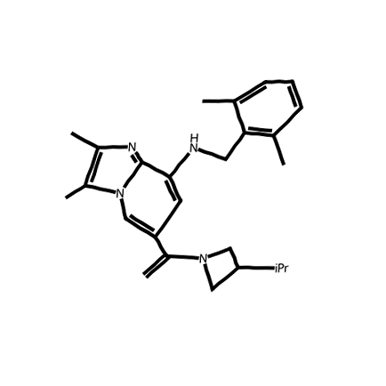 C=C(c1cc(NCc2c(C)cccc2C)c2nc(C)c(C)n2c1)N1CC(C(C)C)C1